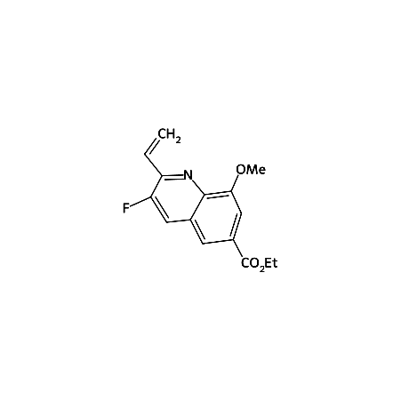 C=Cc1nc2c(OC)cc(C(=O)OCC)cc2cc1F